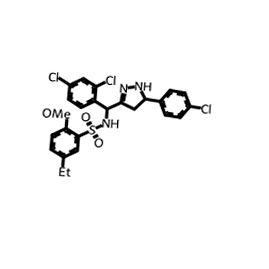 CCc1ccc(OC)c(S(=O)(=O)NC(C2=NNC(c3ccc(Cl)cc3)C2)c2ccc(Cl)cc2Cl)c1